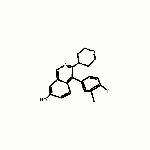 Cc1cc(-c2c(C3CCOCC3)ncc3cc(O)ccc23)ccc1F